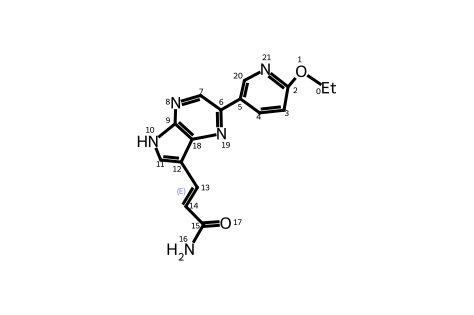 CCOc1ccc(-c2cnc3[nH]cc(/C=C/C(N)=O)c3n2)cn1